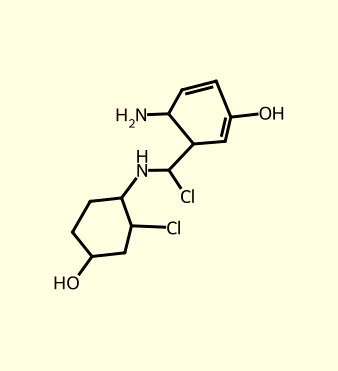 NC1C=CC(O)=CC1C(Cl)NC1CCC(O)CC1Cl